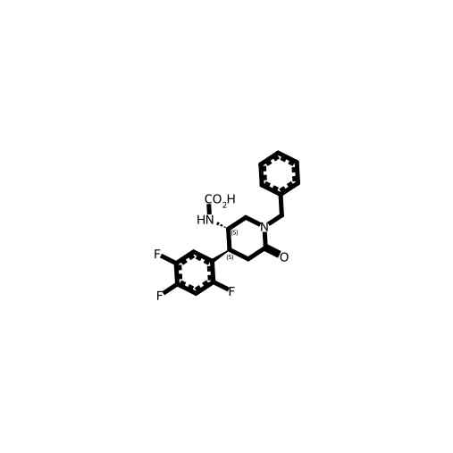 O=C(O)N[C@@H]1CN(Cc2ccccc2)C(=O)C[C@H]1c1cc(F)c(F)cc1F